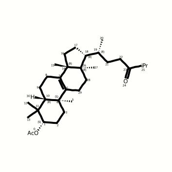 CC(=O)O[C@H]1CC[C@]2(C)C3=C(CC[C@H]2C1(C)C)[C@]1(C)CC[C@H]([C@H](C)CCC(=O)C(C)C)[C@@]1(C)CC3